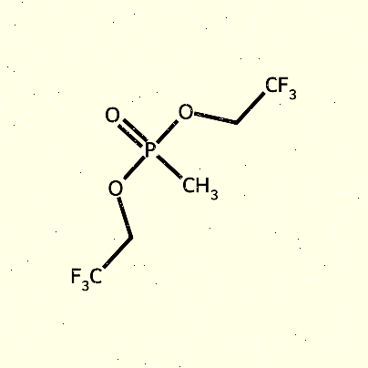 CP(=O)(OCC(F)(F)F)OCC(F)(F)F